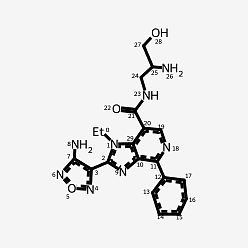 CCn1c(-c2nonc2N)nc2c(-c3ccccc3)ncc(C(=O)NCC(N)CO)c21